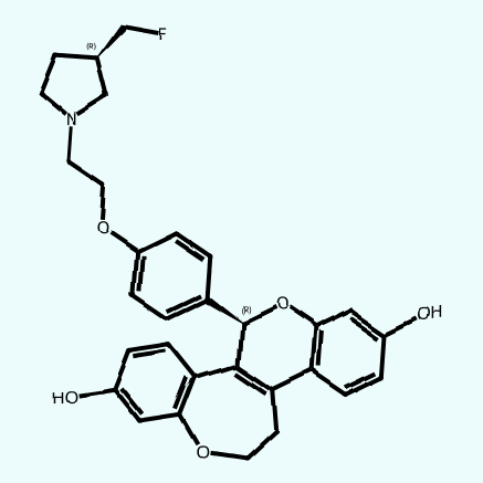 Oc1ccc2c(c1)O[C@H](c1ccc(OCCN3CC[C@@H](CF)C3)cc1)C1=C2CCOc2cc(O)ccc21